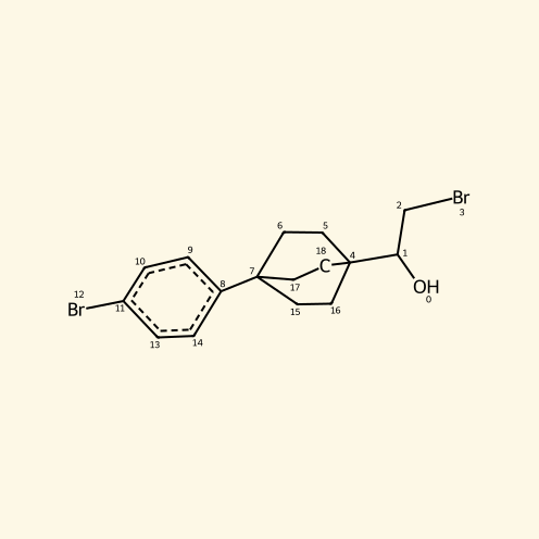 OC(CBr)C12CCC(c3ccc(Br)cc3)(CC1)CC2